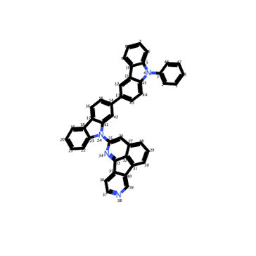 c1ccc(-n2c3ccccc3c3cc(-c4ccc5c6ccccc6n(-c6cc7cccc8c7c(n6)-c6ccncc6-8)c5c4)ccc32)cc1